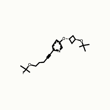 CC(C)(I)OCCCC#Cc1ccc(O[C@H]2C[C@H](OC(C)(C)C)C2)cn1